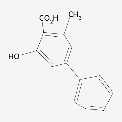 Cc1cc(-c2ccccc2)cc(O)c1C(=O)O